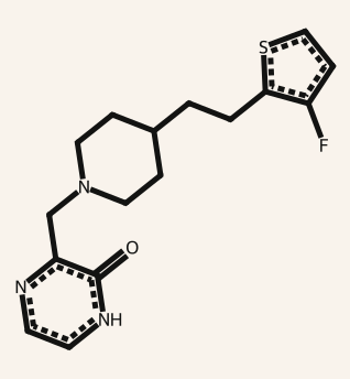 O=c1[nH]ccnc1CN1CCC(CCc2sccc2F)CC1